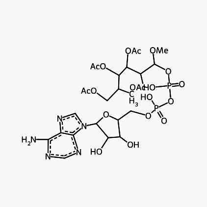 COC(OP(=O)(O)OP(=O)(O)OCC1OC(n2cnc3c(N)ncnc32)C(O)C1O)C(OC(C)=O)C(OC(C)=O)C(OC(C)=O)C(C)COC(C)=O